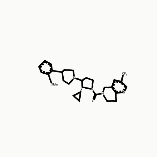 COc1ccccc1C1CCN(C2CCN(C(=O)N3CCc4ncc(C(F)(F)F)cc4C3)[C@@H]2C2CC2)CC1